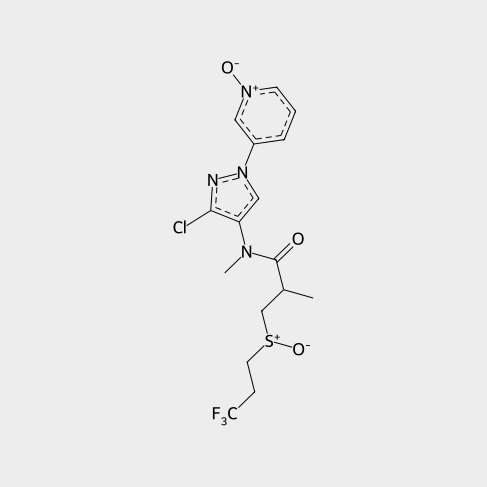 CC(C[S+]([O-])CCC(F)(F)F)C(=O)N(C)c1cn(-c2ccc[n+]([O-])c2)nc1Cl